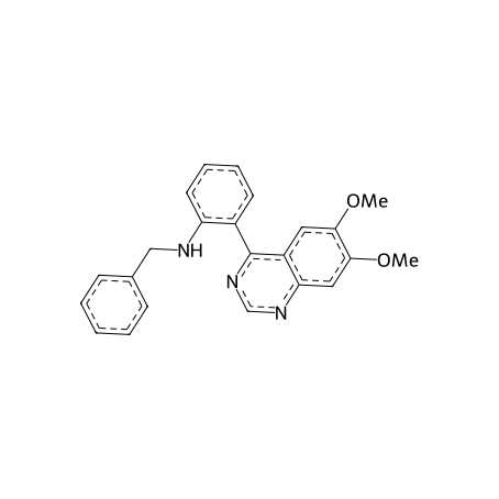 COc1cc2ncnc(-c3ccccc3NCc3ccccc3)c2cc1OC